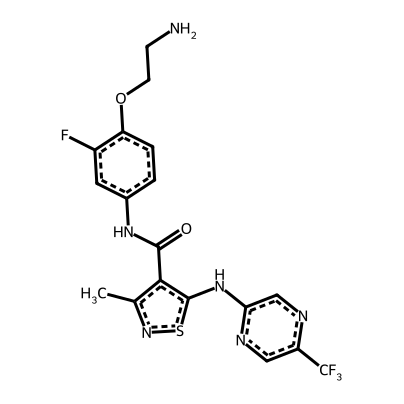 Cc1nsc(Nc2cnc(C(F)(F)F)cn2)c1C(=O)Nc1ccc(OCCN)c(F)c1